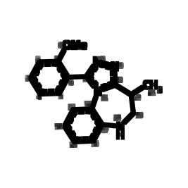 COc1ccccc1-c1nnc2n1-c1ccccc1NCC2C